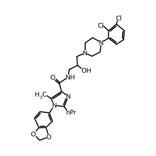 CCCc1nc(C(=O)NCC(O)CN2CCN(c3cccc(Cl)c3Cl)CC2)c(C)n1-c1ccc2c(c1)OCO2